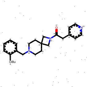 CC(C)COc1ccccc1CN1CCC2(CC1)CN(C(=O)Cc1ccncc1)C2